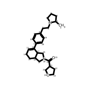 CC1CCCN1CCc1ccc(C2=CCCC3CN(C(=O)C4CCOC4)CC23)cc1